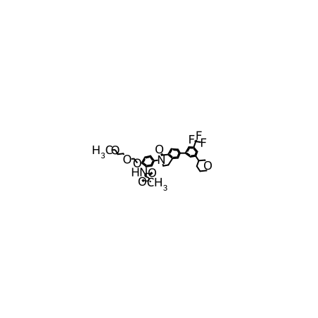 COCCOCOc1ccc(N2CCc3cc(-c4cc(C5CCCOC5)cc(C(F)(F)F)c4)ccc3C2=O)cc1NS(C)(=O)=O